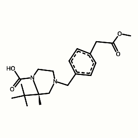 COC(=O)Cc1ccc(CN2CCN(C(=O)O)[C@@](C)(C(C)(C)C)C2)cc1